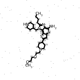 CCCCc1nc2c(N)nc3cc(C4CCN(CCOCCOC)CC4)sc3c2n1CC1CCNCC1